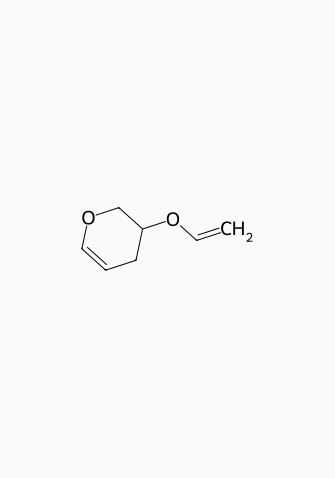 C=COC1CC=COC1